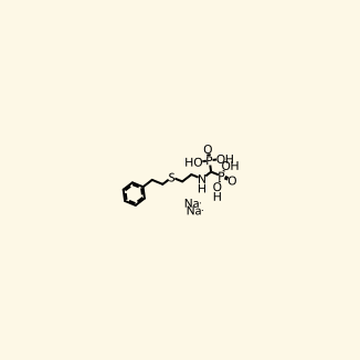 O=P(O)(O)C(NCCSCCc1ccccc1)P(=O)(O)O.[Na].[Na]